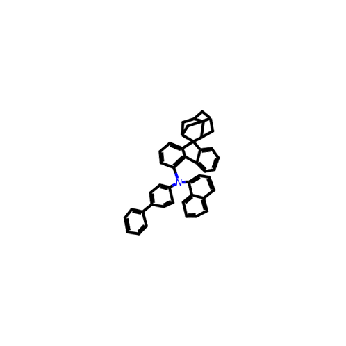 c1ccc(-c2ccc(N(c3cccc4c3-c3ccccc3C43C4CC5CC(C4)CC3C5)c3cccc4ccccc34)cc2)cc1